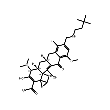 COc1cc(CNCCC(C)(C)C)c(Cl)c2c1C(=O)C1=C(O)[C@]34PC5OC53C(C(N)=O)=C(O)[C@@H](N(C)C)[C@@H]4C[C@@H]1C2